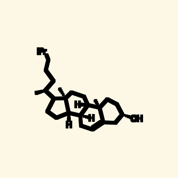 CC(C)CCC[C@H](C)C1CC[C@H]2[C@@H]3CC=C4C[C@@H](O)CC[C@]4(C)[C@H]3CC[C@]12C